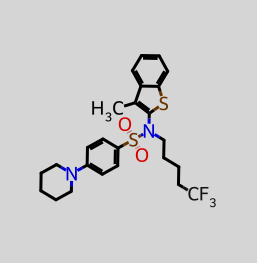 Cc1c(N(CCCCC(F)(F)F)S(=O)(=O)c2ccc(N3CCCCC3)cc2)sc2ccccc12